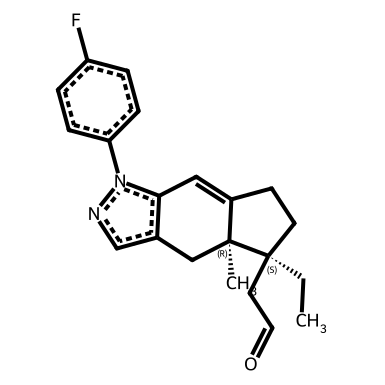 CC[C@@]1(CC=O)CCC2=Cc3c(cnn3-c3ccc(F)cc3)C[C@@]21C